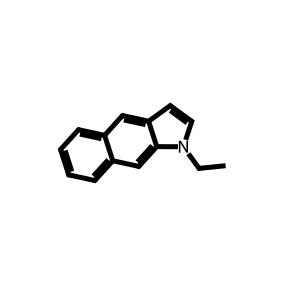 CCn1ccc2cc3ccccc3cc21